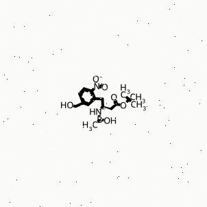 CB(O)N[C@H](CC(=O)OC(C)(C)C)Cc1cc(CO)ccc1[N+](=O)[O-]